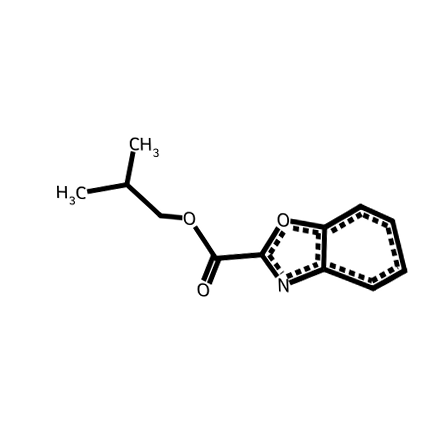 CC(C)COC(=O)c1nc2ccccc2o1